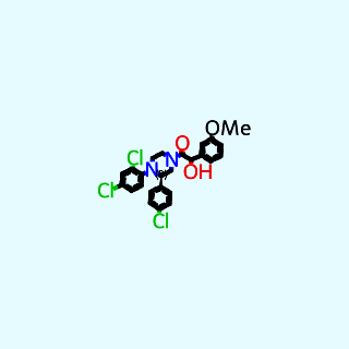 COc1cccc(C(O)C(=O)N2CCN(c3ccc(Cl)cc3Cl)[C@H](c3ccc(Cl)cc3)C2)c1